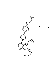 C1=CC(c2cccc(C3CCCCCCC3)c2OCC2CO2)C=CC1c1ccc(OCC2CO2)cc1